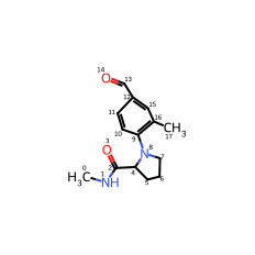 CNC(=O)C1CCCN1c1ccc(C=O)cc1C